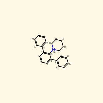 c1ccc(-c2cccc(-c3ccccc3)c2N2CCCCC2)cc1